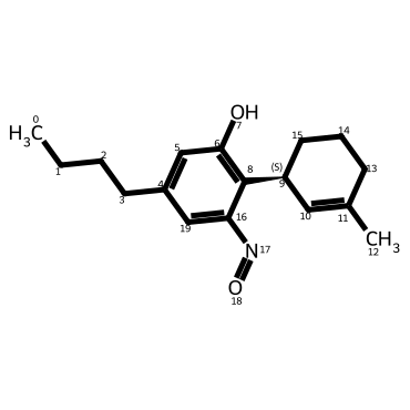 CCCCc1cc(O)c([C@@H]2C=C(C)CCC2)c(N=O)c1